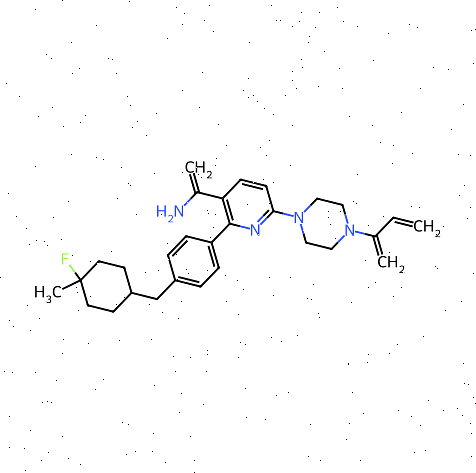 C=CC(=C)N1CCN(c2ccc(C(=C)N)c(-c3ccc(CC4CCC(C)(F)CC4)cc3)n2)CC1